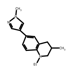 CCN1CC(C)Cc2cc(-c3cnn(C)c3)ccc21